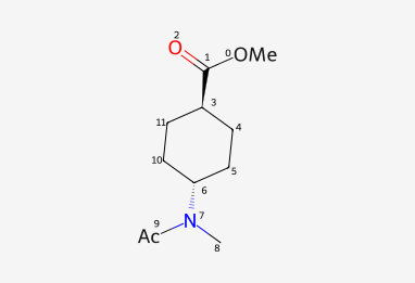 COC(=O)[C@H]1CC[C@H](N(C)C(C)=O)CC1